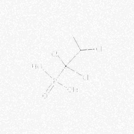 CC(Cl)C(Cl)(Cl)P(=O)(O)O